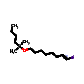 CCCC[Si](C)(C)OCCCCCC/C=C/I